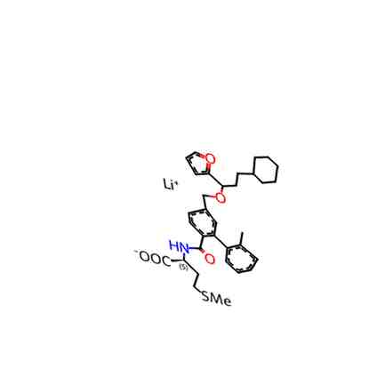 CSCC[C@H](NC(=O)c1ccc(COC(CCC2CCCCC2)c2ccco2)cc1-c1ccccc1C)C(=O)[O-].[Li+]